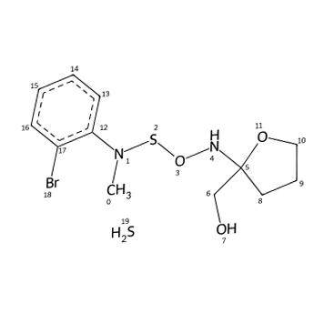 CN(SONC1(CO)CCCO1)c1ccccc1Br.S